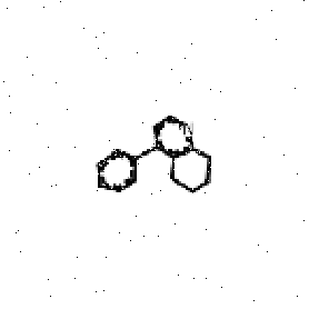 c1ccc(-c2ccnc3c2CCCC3)cc1